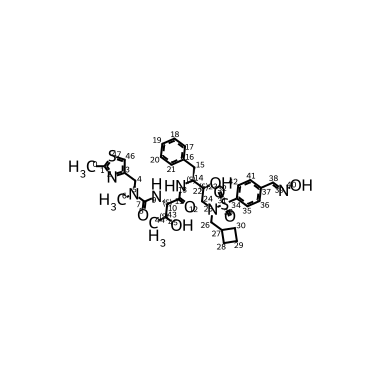 Cc1nc(CN(C)C(=O)N[C@H](C(=O)N[C@@H](Cc2ccccc2)[C@@H](O)CN(CC2CCC2)S(=O)(=O)c2ccc(C=NO)cc2)[C@H](C)O)cs1